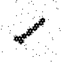 c1ccc2ncc(-c3ccc4cc(-c5ccc6nc(-c7ccc(-c8cc9cccnc9c9ncccc89)cc7)ccc6c5)ccc4n3)cc2c1